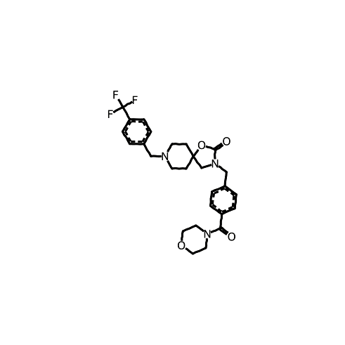 O=C1OC2(CCN(Cc3ccc(C(F)(F)F)cc3)CC2)CN1Cc1ccc(C(=O)N2CCOCC2)cc1